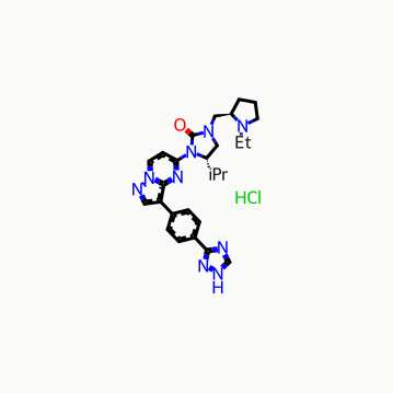 CCN1CCC[C@@H]1CN1C[C@H](C(C)C)N(c2ccn3ncc(-c4ccc(-c5nc[nH]n5)cc4)c3n2)C1=O.Cl